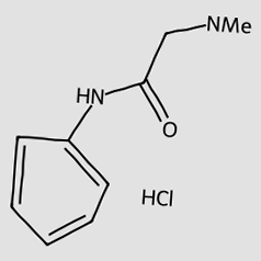 CNCC(=O)Nc1ccccc1.Cl